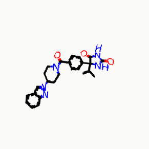 CC(C)C1(c2ccc(C(=O)N3CCC(n4cc5ccccc5n4)CC3)cc2)NC(=O)NC1=O